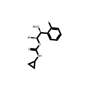 CO[C@@H](c1ccccc1I)[C@@H](OC(=O)NC1CC1)C(C)C